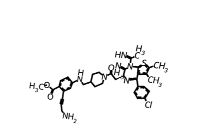 COC(=O)c1ccc(NCC2CCN(C(=O)C[C@@H]3N=C(c4ccc(Cl)cc4)c4c(sc(C)c4C)N(C(C)=N)C3=N)CC2)cc1C#CCN